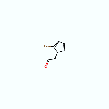 O=CC[C@@H]1C=CC=C1Br